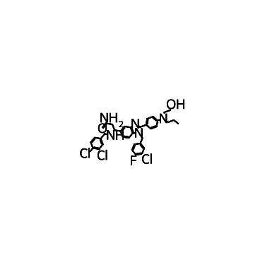 CCCN(CCO)c1ccc(-c2nc3cc(C(CC(N)=O)NCc4ccc(Cl)c(Cl)c4)ccc3n2Cc2ccc(F)c(Cl)c2)cc1